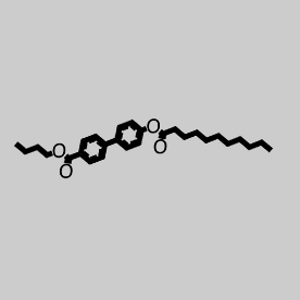 CCCCCCCCCCC(=O)Oc1ccc(-c2ccc(C(=O)OCCCC)cc2)cc1